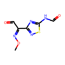 CO/N=C(/[C]=O)c1nsc(NC=O)n1